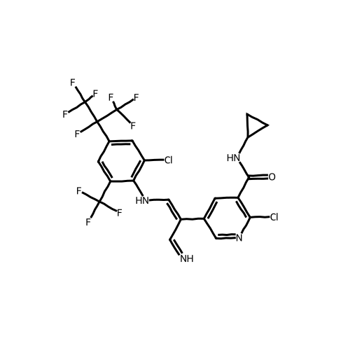 N=C/C(=C\Nc1c(Cl)cc(C(F)(C(F)(F)F)C(F)(F)F)cc1C(F)(F)F)c1cnc(Cl)c(C(=O)NC2CC2)c1